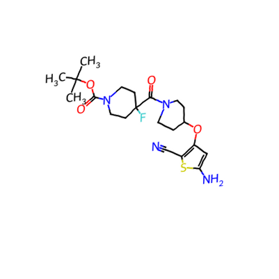 CC(C)(C)OC(=O)N1CCC(F)(C(=O)N2CCC(Oc3cc(N)sc3C#N)CC2)CC1